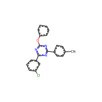 N#Cc1ccc(-c2nc(Oc3ccccc3)nc(-c3cccc(Cl)c3)n2)cc1